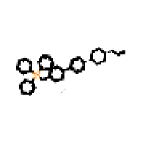 C=CC[C@H]1CC[C@H](c2ccc(-c3ccc(C[P+](c4ccccc4)(c4ccccc4)c4ccccc4)cc3)cc2)CC1.[Br-]